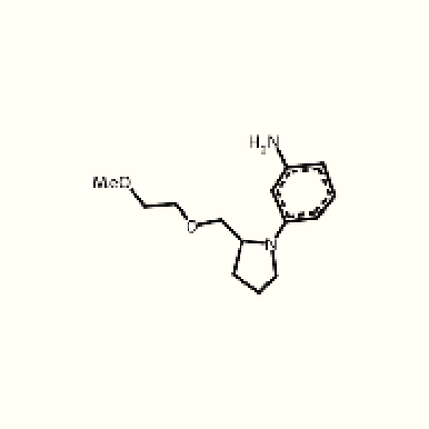 COCCOCC1CCCN1c1cccc(N)c1